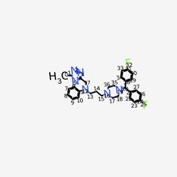 Cc1nnc2n1-c1ccccc1N(CCCN1CCN(C(c3ccc(F)cc3)c3ccc(F)cc3)CC1)C2